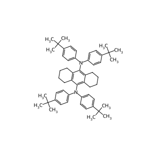 CC(C)(C)c1ccc(N(c2ccc(C(C)(C)C)cc2)c2c3c(c(N(c4ccc(C(C)(C)C)cc4)c4ccc(C(C)(C)C)cc4)c4c2CCCC4)CCCC3)cc1